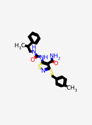 Cc1ccc(CSc2nsc(NC(=O)NCC(C)c3ccccc3)c2C(N)=O)cc1